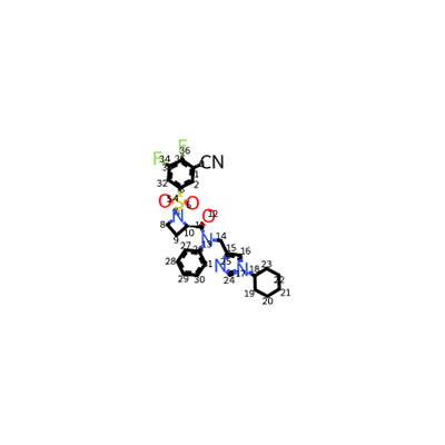 N#Cc1cc(S(=O)(=O)N2CC[C@@H]2C(=O)N(Cc2cn(C3CCCCC3)cn2)c2ccccc2)cc(F)c1F